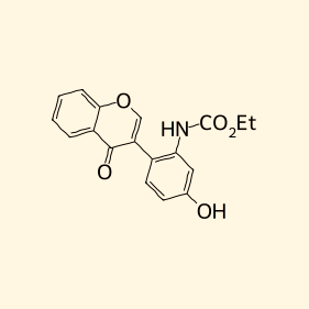 CCOC(=O)Nc1cc(O)ccc1-c1coc2ccccc2c1=O